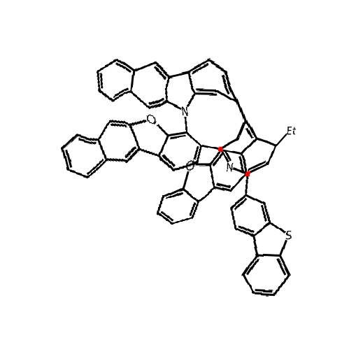 CCC1/C=C(c2ccc3c(c2)sc2ccccc23)\N=C2/C/C(=C/1c1ccc3c(c1)oc1ccccc13)c1ccc3c4cc5ccccc5cc4n(c3c1)-c1c2ccc2c1oc1cc3ccccc3cc12